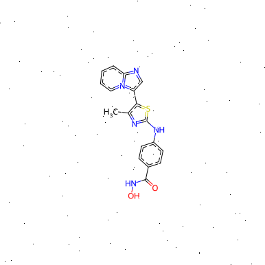 Cc1nc(Nc2ccc(C(=O)NO)cc2)sc1-c1cnc2ccccn12